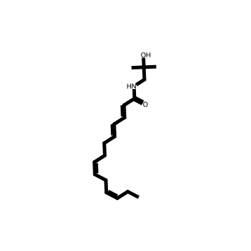 CC/C=C\C/C=C\CC/C=C/C=C/C(=O)NCC(C)(C)O